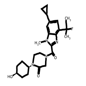 Cn1c(C(=O)N2CCN([C@H]3CC[C@H](O)CC3)C(=O)C2)nc2c(C(C)(C)F)cc(C3CC3)cc21